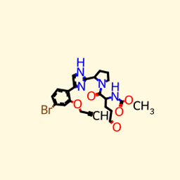 C#CCOc1cc(Br)ccc1-c1c[nH]c(C2CCCN2C(=O)C(CCC=O)NC(=O)OC)n1